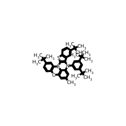 Cc1cc2c3c(c1)N(c1cc(C(C)(C)C)cc(C(C)(C)C)c1)c1c(sc4ccc(C(C)(C)C)cc14)B3c1cc(C(C)(C)C)ccc1O2